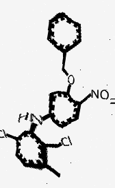 Cc1ccc(Cl)c(Nc2ccc([N+](=O)[O-])c(OCc3ccccc3)c2)c1Cl